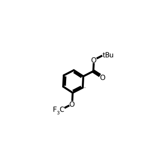 CC(C)(C)OC(=O)c1[c]c(OC(F)(F)F)ccc1